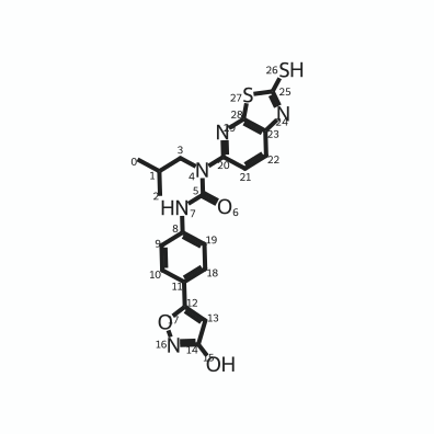 CC(C)CN(C(=O)Nc1ccc(-c2cc(O)no2)cc1)c1ccc2nc(S)sc2n1